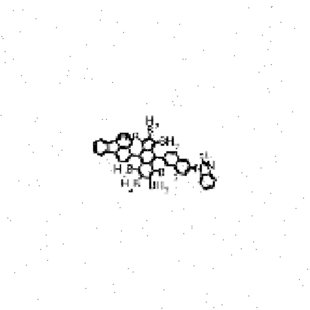 BC1=C(B)C2C(=C1B)C(c1ccc3cc(-n4c(CC)nc5ccccc54)ccc3c1)=c1c(B)c(B)c(B)c(B)c1=C2c1ccc2c3c(cccc13)-c1ccccc1-2